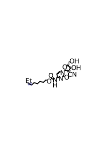 CC/C=C\CCCCCOC(=O)Nc1ccn([C@@H]2O[C@H](CO)[C@@H](O)[C@@H]2C#N)c(=O)n1